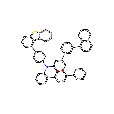 c1ccc(-c2ccc(-c3ccccc3N(c3ccc(-c4cccc5sc6ccccc6c45)cc3)c3cccc(-c4cccc(-c5cccc6ccccc56)c4)c3)cc2)cc1